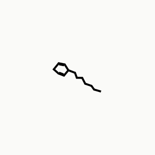 CCCCCCCC1C=CCC=C1